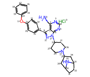 Cl.Nc1ncnc2c1c(-c1ccc(Oc3ccccc3)cc1)nn2C1CCN(C2CC3CCC(C2)N3)CC1